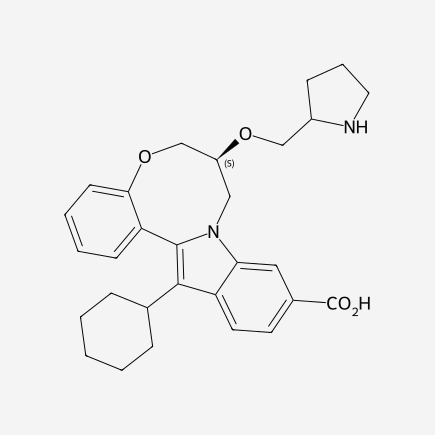 O=C(O)c1ccc2c(C3CCCCC3)c3n(c2c1)C[C@H](OCC1CCCN1)COc1ccccc1-3